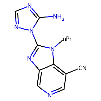 CCCn1c(-n2ncnc2N)nc2cncc(C#N)c21